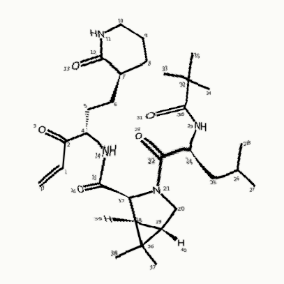 C=CC(=O)[C@H](CC[C@@H]1CCCNC1=O)NC(=O)[C@@H]1[C@@H]2[C@H](CN1C(=O)[C@H](CC(C)C)NC(=O)C(C)(C)C)C2(C)C